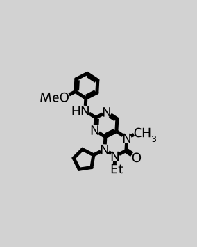 CCN1C(=O)N(C)c2cnc(Nc3ccccc3OC)nc2N1C1CCCC1